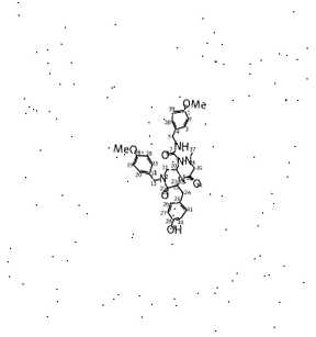 COc1ccc(CNC(=O)N2C3CN(Cc4ccc(OC)cc4)C(=O)[C@H](Cc4ccc(O)cc4)N3C(=O)CN2C)cc1